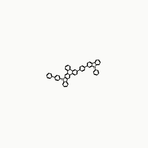 c1ccc(-c2ccc(-n3c4ccccc4c4cc5c6ccc(-c7ccc(-c8ccc9c%10ccccc%10n(-c%10ccccc%10)c9c8)cc7)cc6c6ccccc6c5cc43)cc2)cc1